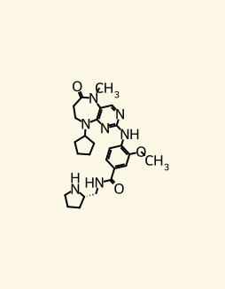 COc1cc(C(=O)NC[C@@H]2CCCN2)ccc1Nc1ncc2c(n1)N(C1CCCC1)CCC(=O)N2C